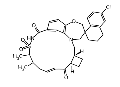 CC1C/C=C/C(=O)[C@@H]2CC[C@H]2CN2CC3(CCCc4cc(Cl)ccc43)COc3ccc(cc32)C(=O)NS(=O)(=O)C1C